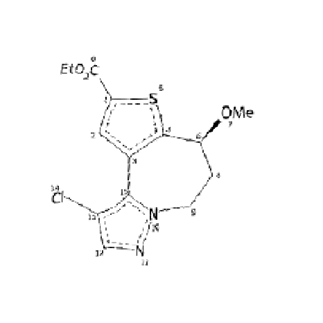 CCOC(=O)c1cc2c(s1)[C@@H](OC)CCn1ncc(Cl)c1-2